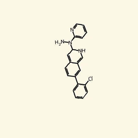 NN(c1ccccn1)C1C=c2ccc(-c3ccccc3Cl)cc2=CN1